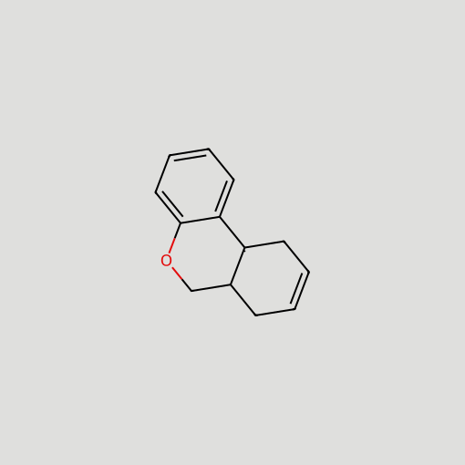 C1=CCC2COc3ccccc3[C]2C1